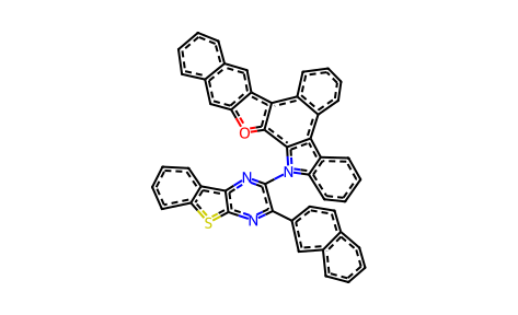 c1ccc2cc(-c3nc4sc5ccccc5c4nc3-n3c4ccccc4c4c5ccccc5c5c6cc7ccccc7cc6oc5c43)ccc2c1